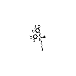 C=CCCCCN=C(C#N)/C(=C/c1cc(OC)c(OC)c(OC)c1)c1ccc(OC)c(OC)c1